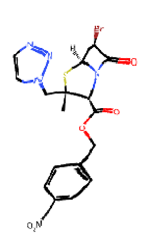 C[C@@]1(Cn2ccnn2)S[C@H]2[C@@H](Br)C(=O)N2[C@H]1C(=O)OCc1ccc([N+](=O)[O-])cc1